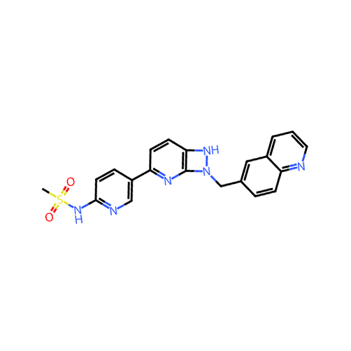 CS(=O)(=O)Nc1ccc(-c2ccc3[nH]n(Cc4ccc5ncccc5c4)c3n2)cn1